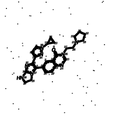 O=c1c2cc(-c3c(-c4ccn(C5CC5)n4)nc4n3CCN4)ccc2ncn1CCN1CCCC1